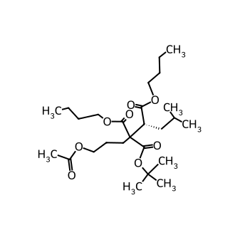 CCCCOC(=O)[C@H](CC(C)C)C(CCCOC(C)=O)(C(=O)OCCCC)C(=O)OC(C)(C)C